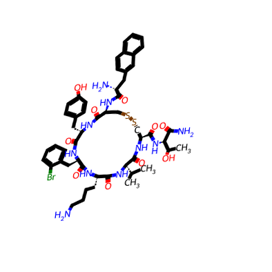 CC(C)[C@@H]1NC(=O)[C@H](CCCCN)NC(=O)[C@@H](Cc2ccccc2Br)NC(=O)[C@H](Cc2ccc(O)cc2)NC(=O)[C@@H](NC(=O)[C@H](N)Cc2ccc3ccccc3c2)CSSC[C@@H](C(=O)N[C@H](C(N)=O)C(C)O)NC1=O